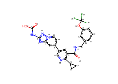 O=C(O)Nc1nc2cc(-c3cnc(C4CC4)c(C(=O)NCc4cccc(OC(F)(F)F)c4)c3)ccn2n1